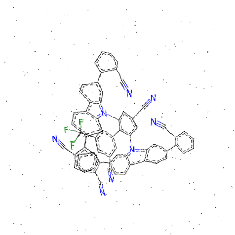 N#Cc1cc(-c2c(-n3c4cc(-c5ccccc5C#N)ccc4c4ccc(-c5ccccc5C#N)cc43)cc(C#N)cc2-n2c3cc(-c4ccccc4C#N)ccc3c3ccc(-c4ccccc4C#N)cc32)cc(C(F)(F)F)c1